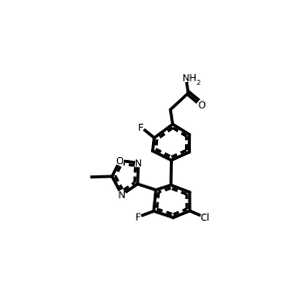 Cc1nc(-c2c(F)cc(Cl)cc2-c2ccc(CC(N)=O)c(F)c2)no1